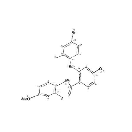 COc1ccc(NC(=O)c2ccc(C(F)(F)F)cc2Nc2ccc(Br)cc2C)c(C)n1